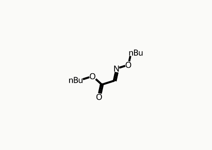 CCCCON=CC(=O)OCCCC